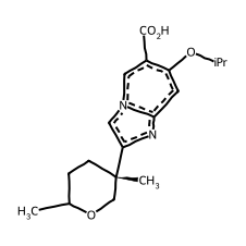 CC(C)Oc1cc2nc([C@@]3(C)CCC(C)OC3)cn2cc1C(=O)O